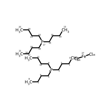 CCCCP(CCCC)CCCC.CCCCP(CCCC)CCCC.[Cl][Fe][Cl]